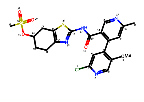 COc1cnc(Cl)cc1-c1cc(C)ncc1C(=O)Nc1nc2c(s1)CC(OS(C)(=O)=O)CC2